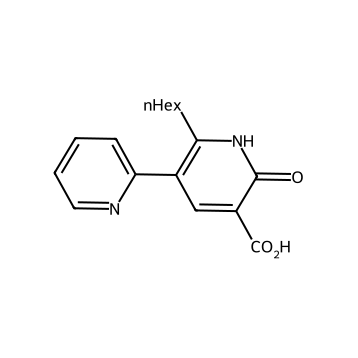 CCCCCCc1[nH]c(=O)c(C(=O)O)cc1-c1ccccn1